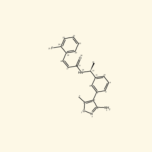 Cc1onc(N)c1-c1cccc([C@H](C)NC(=O)/C=C\c2ccccc2F)c1